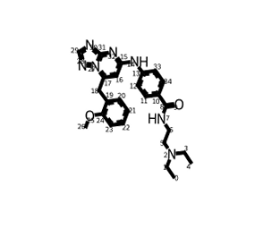 CCN(CC)CCNC(=O)c1ccc(Nc2cc(Cc3ccccc3OC)n3ncnc3n2)cc1